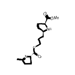 COC(=O)[C@@H]1CC[C@H](CCCOC(=O)[C@@H]2CCC(C)=N2)N1